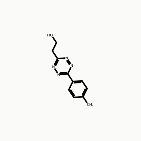 Cc1ccc(-c2nnc(CCO)nn2)cc1